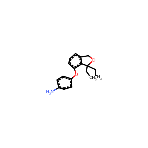 CCC1(CC)OCc2cccc(Oc3ccc(N)cc3)c21